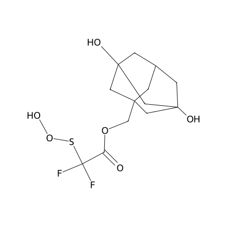 O=C(OCC12CC3CC(O)(CC(O)(C3)C1)C2)C(F)(F)SOO